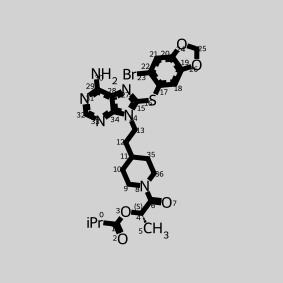 CC(C)C(=O)O[C@@H](C)C(=O)N1CCC(CCn2c(Sc3cc4c(cc3Br)OCO4)nc3c(N)ncnc32)CC1